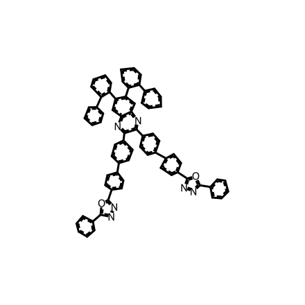 c1ccc(-c2nnc(-c3ccc(-c4ccc(-c5nc6cc(-c7ccccc7-c7ccccc7)c(-c7ccccc7-c7ccccc7)cc6nc5-c5ccc(-c6ccc(-c7nnc(-c8ccccc8)o7)cc6)cc5)cc4)cc3)o2)cc1